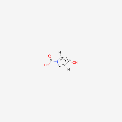 O=C(O)N1C[C@H]2C[C@@H]1C[C@@H]2O